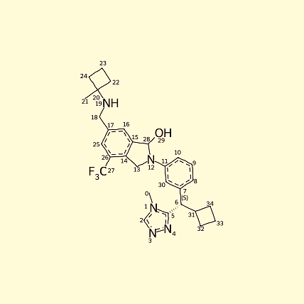 Cn1cnnc1[C@H](c1cccc(N2Cc3c(cc(CNC4(C)CCC4)cc3C(F)(F)F)C2O)c1)C1CCC1